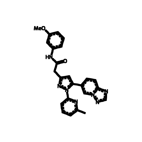 COc1cccc(NC(=O)Cc2cc(-c3ccc4ncnn4c3)n(-c3cccc(C)n3)n2)c1